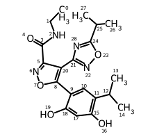 CCNC(=O)c1noc(-c2cc(C(C)C)c(O)cc2O)c1-c1noc(C(C)C)n1